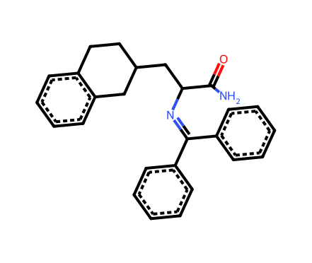 NC(=O)C(CC1CCc2ccccc2C1)N=C(c1ccccc1)c1ccccc1